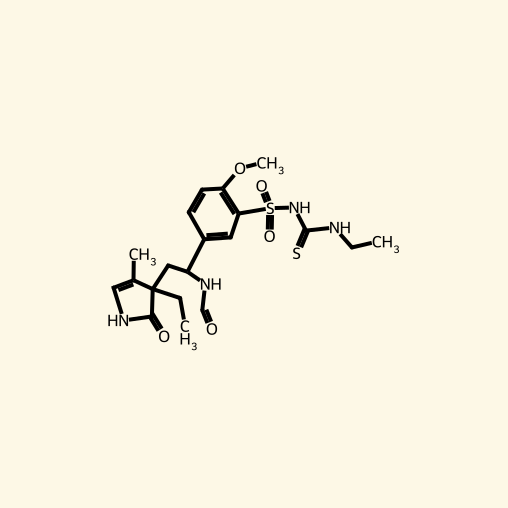 CCNC(=S)NS(=O)(=O)c1cc(C(CC2(CC)C(=O)NC=C2C)NC=O)ccc1OC